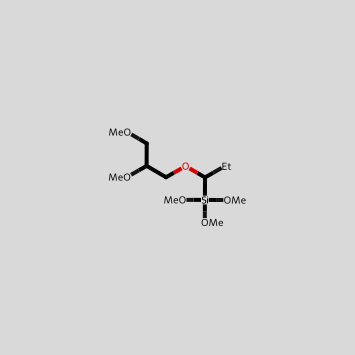 CCC(OCC(COC)OC)[Si](OC)(OC)OC